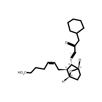 O=C(O)CCC/C=C\C[C@H]1[C@H](/C=C/C(=O)CC2CCCCC2)[C@@H]2CC[C@H]1O2